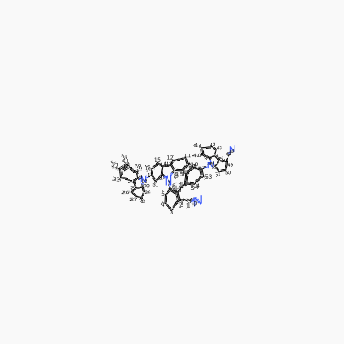 N#Cc1cccc(-n2c3ccccc3c3ccc(-n4c5ccccc5c5ccccc54)cc32)c1-c1ccc(-n2c3ccccc3c3c(C#N)cccc32)cc1